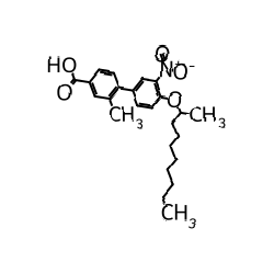 CCCCCCCCC(C)Oc1ccc(-c2ccc(C(=O)O)cc2C)cc1[N+](=O)[O-]